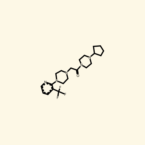 O=C(CN1CCN(c2ncccc2C(F)(F)F)CC1)N1CCN(C2CCCC2)CC1